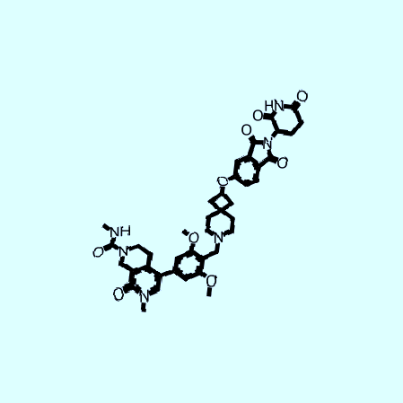 CNC(=O)N1CCc2c(-c3cc(OC)c(CN4CCC5(CC4)CC(Oc4ccc6c(c4)C(=O)N(C4CCC(=O)NC4=O)C6=O)C5)c(OC)c3)cn(C)c(=O)c2C1